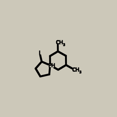 CC1CC(C)C[PH]2(CCCC2I)C1